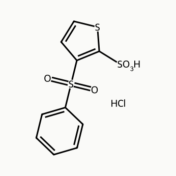 Cl.O=S(=O)(O)c1sccc1S(=O)(=O)c1ccccc1